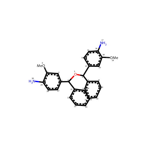 COc1cc(C(OC(c2ccccc2)c2ccc(N)c(OC)c2)c2ccccc2)ccc1N